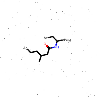 CCCCCC(CC(C)=O)NC(=O)CC(C)CCC(C)=O